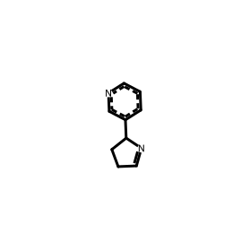 C1=NC(c2cccnc2)CC1